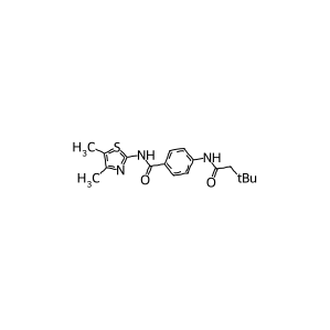 Cc1nc(NC(=O)c2ccc(NC(=O)CC(C)(C)C)cc2)sc1C